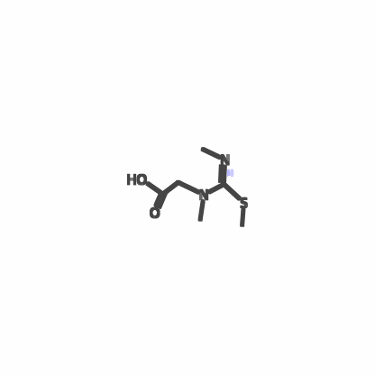 C/N=C(/SC)N(C)CC(=O)O